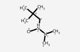 CN(C)[SiH](Cl)CC(C)(C)C